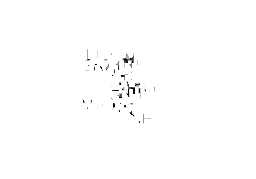 CCOC(=O)N1CC=CC(C2=C(C(=O)[O-])N3C(=O)[C@@H](NC(=O)/C(=N\OC)c4csc(N)n4)[C@H]3SC2)N1C(=O)OCC.[Na+]